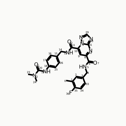 Cc1cc(CNC(=O)c2cc(C(=O)NCc3ccc(NC(=O)N(C)C)cc3)n3ncnc3n2)ccc1F